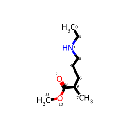 CCNCCCC(C)C(=O)OC